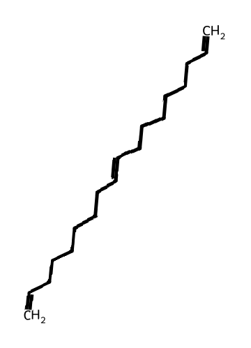 C=CCCCCCCC=CCCCCCCC=C